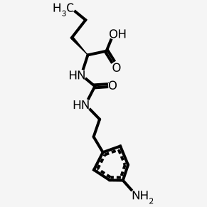 CCC[C@H](NC(=O)NCCc1ccc(N)cc1)C(=O)O